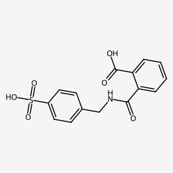 O=C(O)c1ccccc1C(=O)NCc1ccc(S(=O)(=O)O)cc1